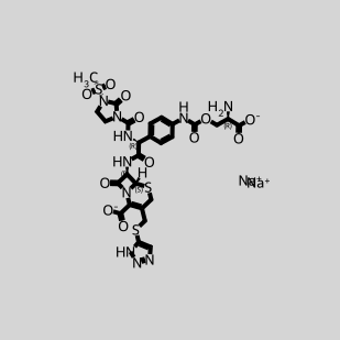 CS(=O)(=O)N1CCN(C(=O)N[C@@H](C(=O)N[C@@H]2C(=O)N3C(C(=O)[O-])=C(CSc4cnn[nH]4)CS[C@@H]23)c2ccc(NC(=O)OC[C@@H](N)C(=O)[O-])cc2)C1=O.[Na+].[Na+]